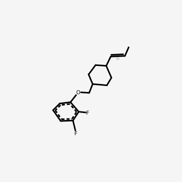 C/C=C/C1CCC(COc2cccc(F)c2F)CC1